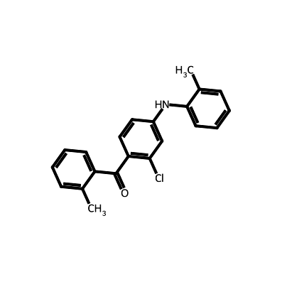 Cc1ccccc1Nc1ccc(C(=O)c2ccccc2C)c(Cl)c1